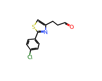 O=CCCc1csc(-c2ccc(Cl)cc2)n1